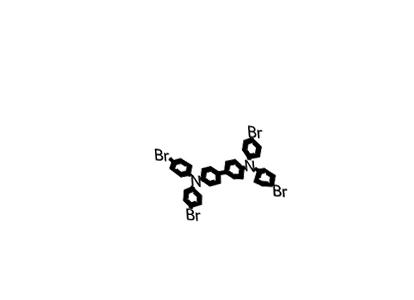 Brc1ccc(N(c2ccc(Br)cc2)c2ccc(-c3ccc(N(c4ccc(Br)cc4)c4ccc(Br)cc4)cc3)cc2)cc1